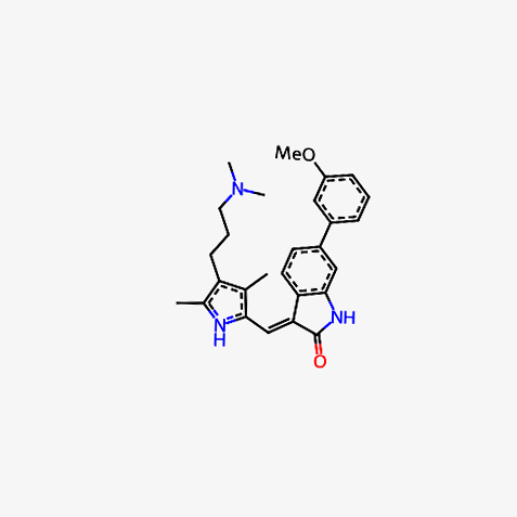 COc1cccc(-c2ccc3c(c2)NC(=O)C3=Cc2[nH]c(C)c(CCCN(C)C)c2C)c1